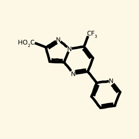 O=C(O)c1cc2nc(-c3ccccn3)cc(C(F)(F)F)n2n1